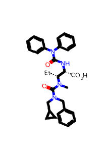 CC[C@H]([C@H](NC(=O)N(c1ccccc1)c1ccccc1)C(=O)O)N(C)C(=O)N(Cc1ccccc1)CC1CC1